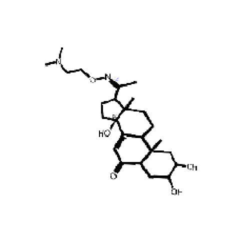 C/C(=N/OCCN(C)C)C1CC[C@@]2(O)C3=CC(=O)C4CC(O)C(O)CC4(C)C3CCC12C